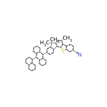 Cc1cc2c(c3sc4cc(C#N)ccc4c13)-c1ccc(-c3c4ccccc4c(-c4cccc5ccccc45)c4ccccc34)cc1C2(C)C